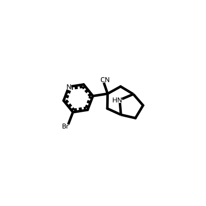 N#CC1(c2cncc(Br)c2)CC2CCC(C1)N2